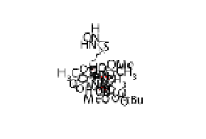 COc1cc2c(cc1OC(=O)OC(C)(C)C)CCN[C@]21CS[C@@H]2c3c(OC(=O)CCCC[C@@H]4SCC5NC(=O)NC54)c(C)c4c(c3[C@H](COC1=O)N1C2[C@H]2c3c(cc(C)c(OC)c3O)C[C@@H]([C@@H]1C#N)N2C)OCO4